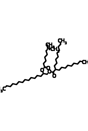 CCCCCCCCCCCCCC(COC(=O)C(CCCCCCCCC)CCCCCCCCC)OC(=O)CCCCCN(C)C